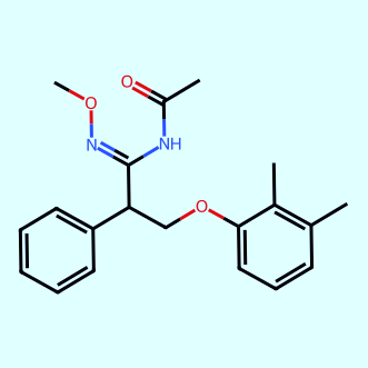 CON=C(NC(C)=O)C(COc1cccc(C)c1C)c1ccccc1